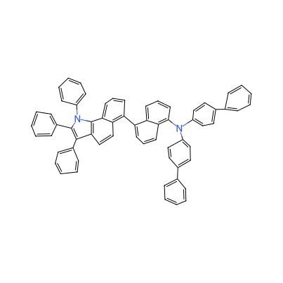 c1ccc(-c2ccc(N(c3ccc(-c4ccccc4)cc3)c3cccc4c(-c5cccc6c5ccc5c(-c7ccccc7)c(-c7ccccc7)n(-c7ccccc7)c56)cccc34)cc2)cc1